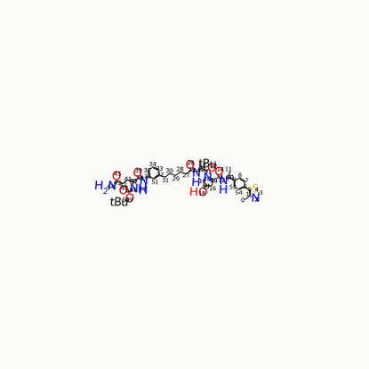 Cc1ncsc1-c1ccc([C@H](C)NC(=O)[C@@H]2C[C@@H](O)CN2C(=O)[C@@H](NC(=O)CCCCCc2cccc(NC(=O)[C@H](CCC(N)=O)NC(=O)OC(C)(C)C)c2)C(C)(C)C)cc1